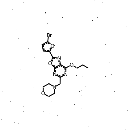 CCCOc1nc(CN2CCOCC2)nc2oc(-c3ccc(Br)o3)nc12